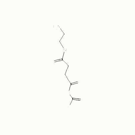 NCCNC(=O)CCC(=O)OC(=O)C(F)(F)F